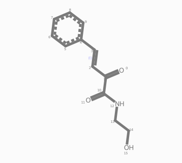 O=C(/C=C/c1ccccc1)C(=O)NCCO